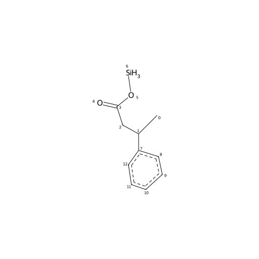 CC(CC(=O)O[SiH3])c1ccccc1